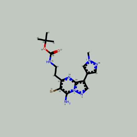 Cn1cc(-c2cnn3c(N)c(Br)c(CCNC(=O)OC(C)(C)C)nc23)cn1